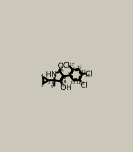 CC1(C2CC2)NC(=O)C(c2cc(Cl)c(Cl)cc2Cl)=C1O